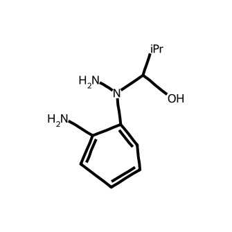 CC(C)C(O)N(N)c1ccccc1N